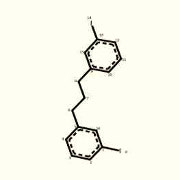 Ic1cccc(CCCc2cccc(I)c2)c1